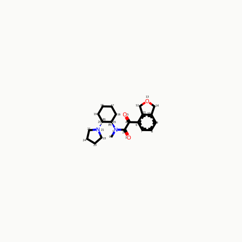 CN(C(=O)C(=O)c1cccc2c1COC2)[C@@H]1CCCC[C@H]1N1CCCC1